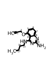 C#CCOc1cccc2nc(N)nc(NCCCC)c12